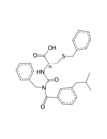 CC(C)Cc1cccc(C(=O)N(Cc2ccccc2)C(=O)N[C@@H](CSCc2ccccc2)C(=O)O)c1